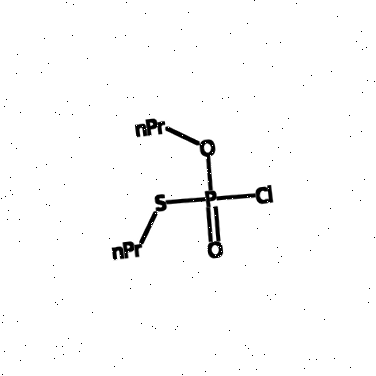 CCCOP(=O)(Cl)SCCC